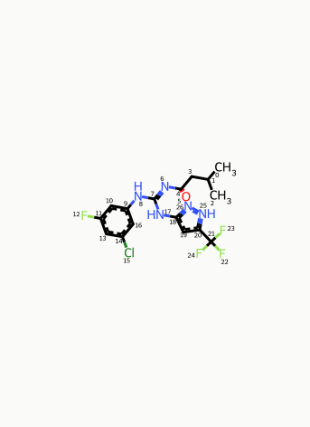 CC(C)CC(=O)/N=C(/Nc1cc(F)cc(Cl)c1)Nc1cc(C(F)(F)F)[nH]n1